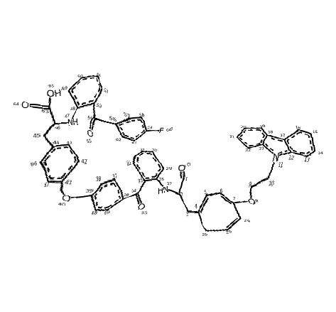 O=CC(CC1=CC=C(OCCn2c3ccccc3c3ccccc32)C=CC1)Nc1ccccc1C(=O)c1ccc(Oc2ccc(CC(Nc3ccccc3C(=O)c3ccc(F)cc3)C(=O)O)cc2)cc1